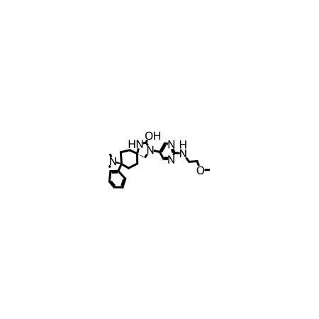 COCCNc1ncc(N2C[C@]3(CC[C@](c4ccccc4)(N(C)C)CC3)NC2O)cn1